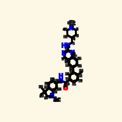 CCN1CCC(CNc2ncc3cc(-c4cc(C(=O)Nc5ccc6c(c5)N(C(C)=O)CC6(C)C)ccc4C)ccc3n2)CC1